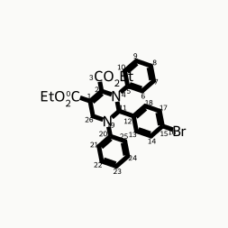 CCOC(=O)C1=C(C(=O)OCC)N(c2ccccc2)C(c2ccc(Br)cc2)N(c2ccccc2)C1